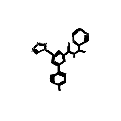 Cc1ccc(-c2cc(C(=O)NC(C)c3cnccn3)cc(-n3cnnn3)c2)cc1